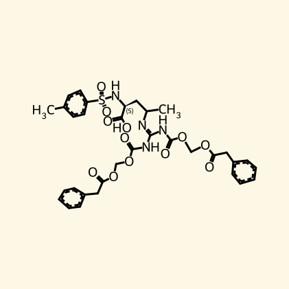 Cc1ccc(S(=O)(=O)N[C@@H](CC(C)N=C(NC(=O)OCOC(=O)Cc2ccccc2)NC(=O)OCOC(=O)Cc2ccccc2)C(=O)O)cc1